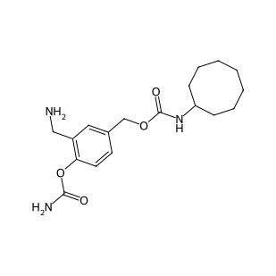 NCc1cc(COC(=O)NC2CCCCCCC2)ccc1OC(N)=O